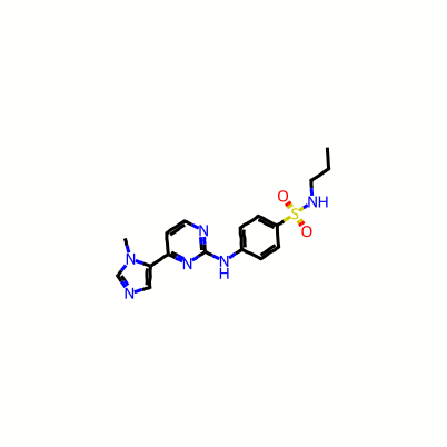 CCCNS(=O)(=O)c1ccc(Nc2nccc(-c3cncn3C)n2)cc1